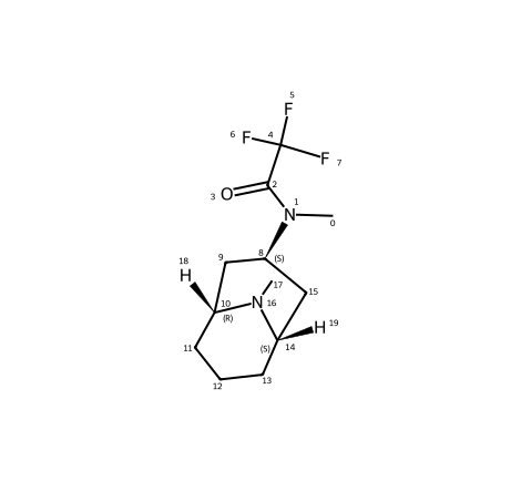 CN(C(=O)C(F)(F)F)[C@@H]1C[C@H]2CCC[C@@H](C1)N2C